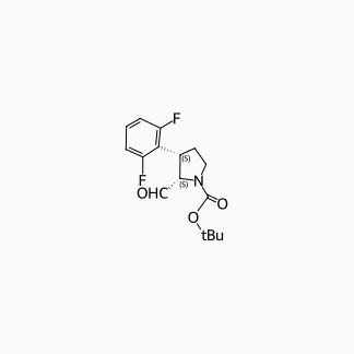 CC(C)(C)OC(=O)N1CC[C@@H](c2c(F)cccc2F)[C@H]1C=O